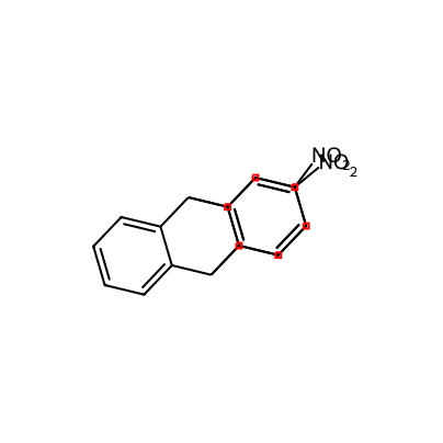 O=[N+]([O-])c1ccc2c(c1)C1c3ccccc3C2c2ccc([N+](=O)[O-])cc21